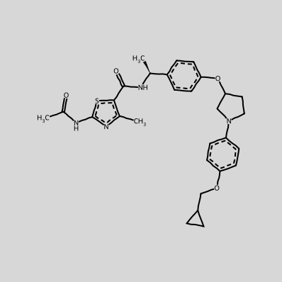 CC(=O)Nc1nc(C)c(C(=O)N[C@@H](C)c2ccc(OC3CCN(c4ccc(OCC5CC5)cc4)C3)cc2)s1